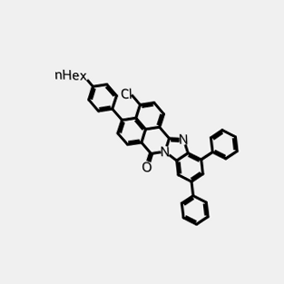 CCCCCCc1ccc(-c2ccc3c(=O)n4c5cc(-c6ccccc6)cc(-c6ccccc6)c5nc4c4ccc(Cl)c2c34)cc1